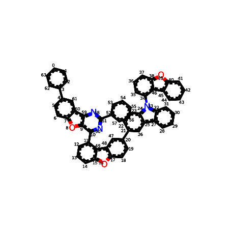 c1ccc(-c2ccc3oc4c(-c5cccc6oc7ccc(-c8ccc9c(c8)c8ccccc8n9-c8cccc9oc%10ccccc%10c89)cc7c56)nc(-c5ccccc5)nc4c3c2)cc1